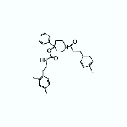 Cc1ccc(CCNC(=O)OC2(c3ccccc3)CCN(C(=O)CCc3ccc(F)cc3)CC2)c(C)c1